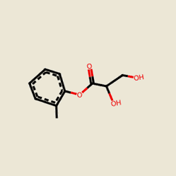 Cc1ccccc1OC(=O)C(O)CO